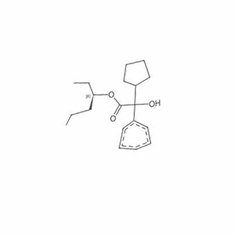 CCC[C@@H](CC)OC(=O)C(O)(c1ccccc1)C1CCCC1